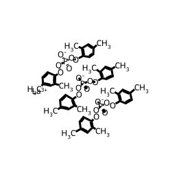 Cc1ccc(OOP(=O)([O-])OOc2ccc(C)cc2C)c(C)c1.Cc1ccc(OOP(=O)([O-])OOc2ccc(C)cc2C)c(C)c1.Cc1ccc(OOP(=O)([O-])OOc2ccc(C)cc2C)c(C)c1.[La+3]